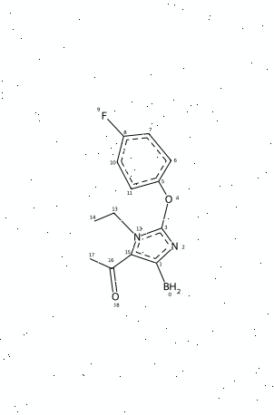 Bc1nc(Oc2ccc(F)cc2)n(CC)c1C(C)=O